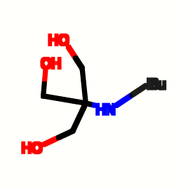 CCC(C)NC(CO)(CO)CO